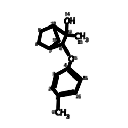 Cc1ccc(OC2C3CCC(C3)C2(C)O)cc1